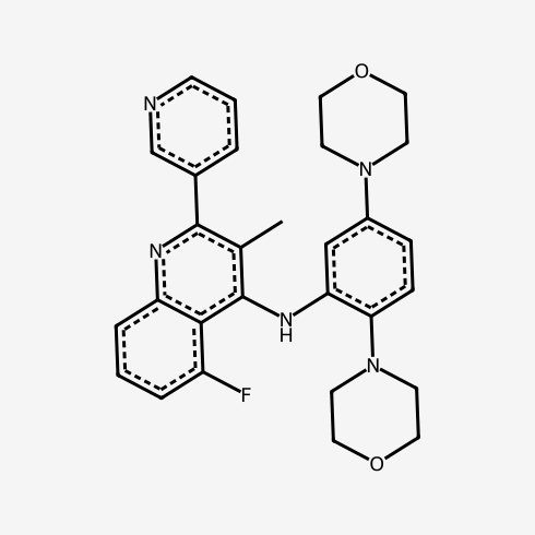 Cc1c(-c2cccnc2)nc2cccc(F)c2c1Nc1cc(N2CCOCC2)ccc1N1CCOCC1